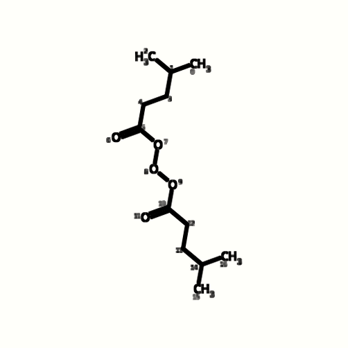 CC(C)CCC(=O)OOOC(=O)CCC(C)C